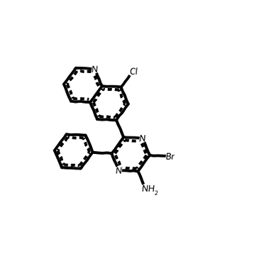 Nc1nc(-c2ccccc2)c(-c2cc(Cl)c3ncccc3c2)nc1Br